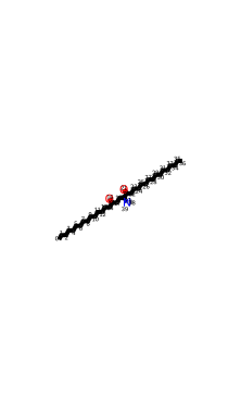 CCCCCCCCCCCCCCCC(=O)CCC(C(=O)CCCCCCCCCCCCCCC)N(C)C